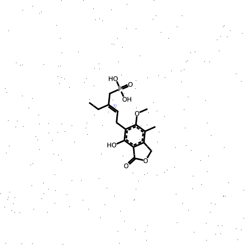 CC/C(=C\Cc1c(O)c2c(c(C)c1OC)COC2=O)CP(=O)(O)O